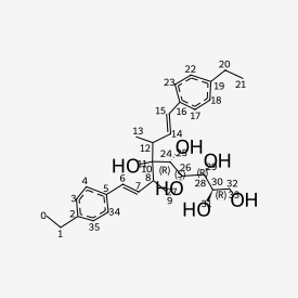 CCc1ccc(C=CC(C)C(O)(C(C)C=Cc2ccc(CC)cc2)[C@H](O)[C@@H](O)[C@H](O)[C@H](O)CO)cc1